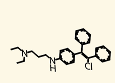 CCN(CC)CCCNc1ccc(/C(=C(\Cl)c2ccccc2)c2ccccc2)cc1